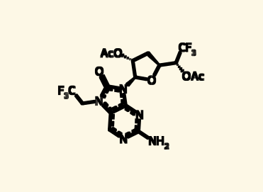 CC(=O)O[C@H]([C@@H]1C[C@@H](OC(C)=O)[C@H](n2c(=O)n(CC(F)(F)F)c3cnc(N)nc32)O1)C(F)(F)F